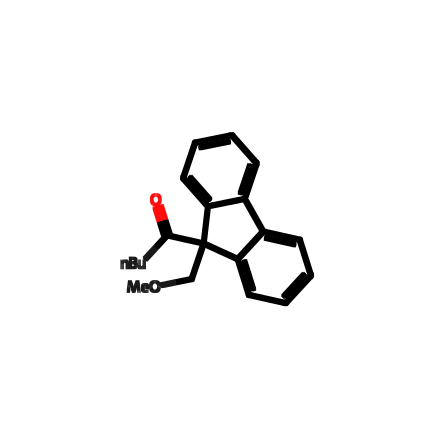 CCCCC(=O)C1(COC)c2ccccc2-c2ccccc21